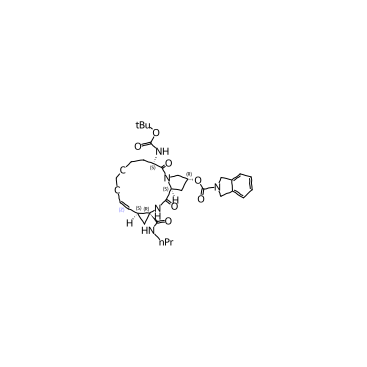 CCCNC(=O)[C@@]12C[C@H]1/C=C\CCCCC[C@H](NC(=O)OC(C)(C)C)C(=O)N1C[C@H](OC(=O)N3Cc4ccccc4C3)C[C@H]1C(=O)N2